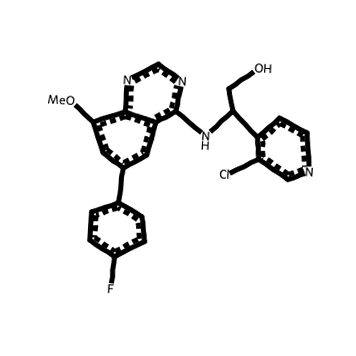 COc1cc(-c2ccc(F)cc2)cc2c(NC(CO)c3ccncc3Cl)ncnc12